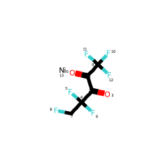 O=C(C(=O)C(F)(F)CF)C(F)(F)F.[Ni]